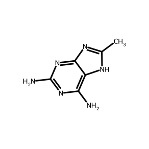 Cc1nc2nc(N)nc(N)c2[nH]1